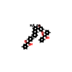 Cc1cc2cc3ccccc3cc2c(C2=CC(=O)C=CC2=O)c1C.O=C(c1ccccc1)C(O)c1ccccc1.O=C(c1ccccc1)C(O)c1ccccc1